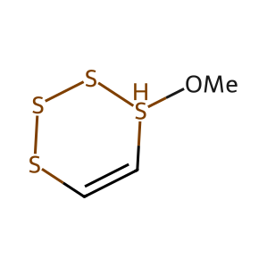 CO[SH]1C=CSSS1